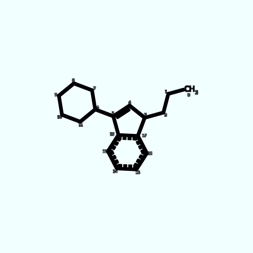 CCCC1C=C(C2CCCCC2)c2ccccc21